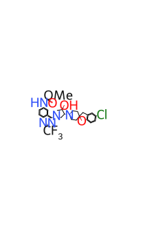 COC(=O)Nc1ccc2nc(C(F)(F)F)nc(N3CC(O)C(N4CCC5(CC4)Cc4cc(Cl)ccc4O5)C3)c2c1